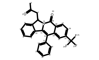 CC(=O)CC1c2ccccc2-c2c(-c3ccccc3)c3cc(C(F)(F)F)ccc3c(=O)n21